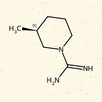 C[C@H]1CCCN(C(=N)N)C1